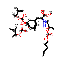 CCCCCOC(=O)OC(C)CN[C@@H](Cc1ccc(OC(=O)OC(C)C(C)C)c(OC(=O)OC(C)C(C)C)c1)C(=O)OC